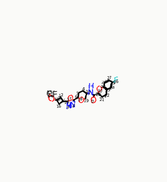 O=C(NC1CCC(c2nnc(C3CC(OC(F)(F)F)C3)o2)OC1)[C@@H]1CCc2cc(F)ccc2O1